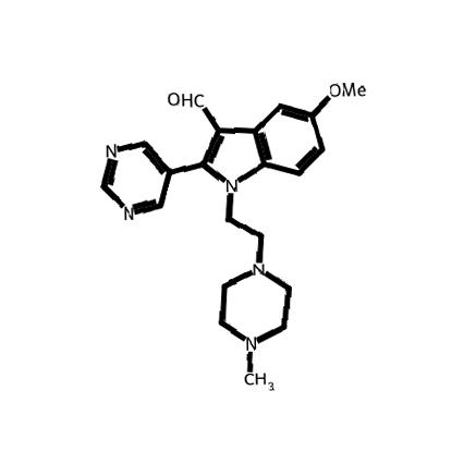 COc1ccc2c(c1)c(C=O)c(-c1cncnc1)n2CCN1CCN(C)CC1